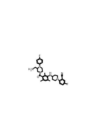 Cc1cc(C)c(C(=O)N2CCN(c3ccc(F)cc3)C(CN)C2)c(C)c1NC1CCN(c2ccc(F)cc2C#N)CC1